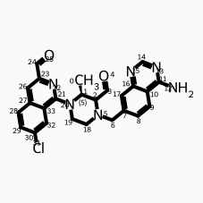 C[C@H]1C(C=O)N(Cc2ccc3c(N)ncnc3c2)CCN1c1nc(C=O)cc2ccc(Cl)cc12